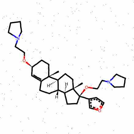 C[C@]12CC[C@H](OCCN3CCCC3)C=C1CC[C@@H]1[C@@H]2CC[C@@]2(C)[C@H]1CC[C@@]2(OCCN1CCCC1)c1ccoc1